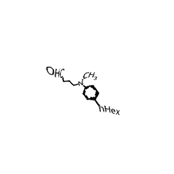 CCCCCCc1ccc(N(C)CCCC=O)cc1